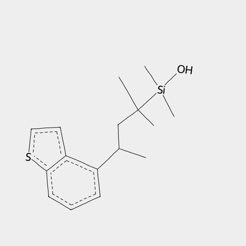 CC(CC(C)(C)[Si](C)(C)O)c1cccc2sccc12